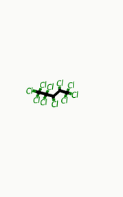 ClC(C(Cl)C(Cl)(Cl)C(Cl)(Cl)Cl)C(Cl)(Cl)Cl